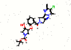 Cc1nc2c3c(nn2c(C)c1Cl)CN(C(=O)c1ccccc1OC1CN(C(=O)OC(C)(C)C)CC1O)C3